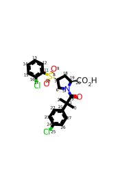 CC(C)(C(=O)N1C[C@H](S(=O)(=O)c2ccccc2Cl)C[C@H]1C(=O)O)c1ccc(Cl)cc1